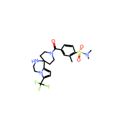 Cc1cc(C(=O)N2CCC3(CC2)NCCn2c(C(F)(F)F)ccc23)ccc1S(=O)(=O)N(C)C